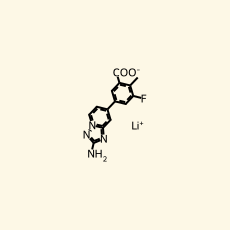 Cc1c(F)cc(-c2ccn3nc(N)nc3c2)cc1C(=O)[O-].[Li+]